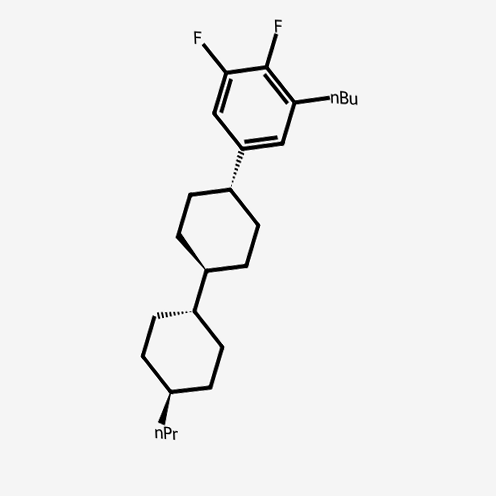 CCCCc1cc([C@H]2CC[C@H]([C@H]3CC[C@H](CCC)CC3)CC2)cc(F)c1F